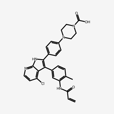 C=CC(=O)Nc1cc(-c2c(-c3ccc(N4CCN(C(=O)O)CC4)cc3)[nH]c3nccc(Cl)c23)ccc1C